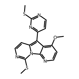 COc1ccnc2c1c(-c1ccnc(SC)n1)c1ccnc(SC)n12